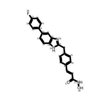 O=C(/C=C/c1ccc(Cc2nc3cc(-c4ccc(F)cc4)ccc3[nH]2)cc1)NO